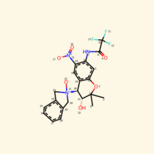 CC1(C)Oc2cc(NC(=O)C(F)(F)F)c([N+](=O)[O-])cc2[C@H]([N+]2([O-])Cc3ccccc3C2)[C@H]1O